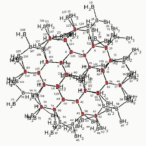 BBB(B)B(B(B)B)B(B(B(B(B)B)B(B)B)B(B(B)B)B(B)B)B(B(B(B(B)B)B(B)B)B(B(B)B)B(B)B)B(B(B(B(B(B)B)B(B)B)B(B(B)B)B(B)B)B(B(B(B)B)B(B)B)B(B(B)B)B(B)B)B(B(B(B(B(B)B)B(B)B)B(B(B)B)B(B)B)B(B(B(B)B)B(B)B)B(B(B)B)B(B)B)B(B(B(B(B)B)B(B)B)B(B(B)B)B(B)B)B(B(B(B)B)B(B)B)B(B(B)B)B(B)B